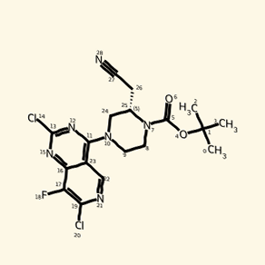 CC(C)(C)OC(=O)N1CCN(c2nc(Cl)nc3c(F)c(Cl)ncc23)C[C@@H]1CC#N